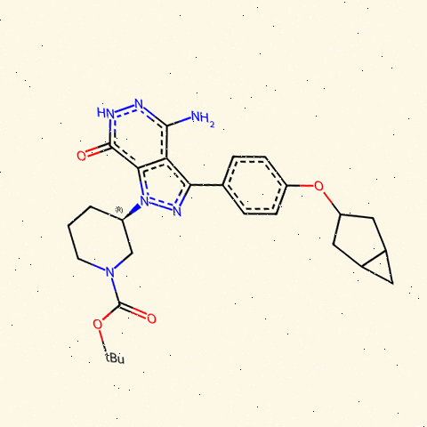 CC(C)(C)OC(=O)N1CCC[C@@H](n2nc(-c3ccc(OC4CC5CC5C4)cc3)c3c(N)n[nH]c(=O)c32)C1